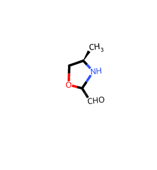 C[C@@H]1COC(C=O)N1